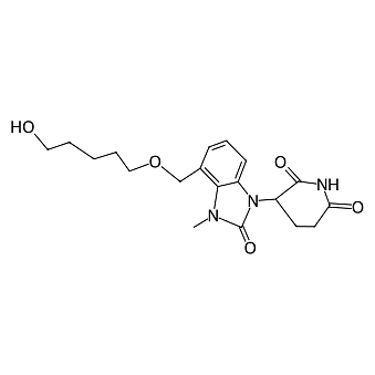 Cn1c(=O)n(C2CCC(=O)NC2=O)c2cccc(COCCCCCO)c21